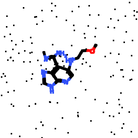 CN=C(N)c1c(NCCOC)cnc2[nH]cnc12